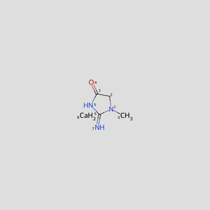 CN1CC(=O)NC1=N.[CaH2]